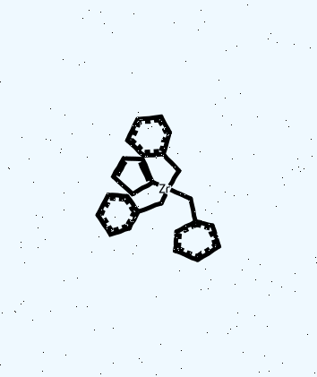 C1=CC[C]([Zr]([CH2]c2ccccc2)([CH2]c2ccccc2)[CH2]c2ccccc2)=C1